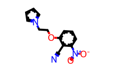 N#Cc1c(OCCn2cccc2)cccc1[N+](=O)[O-]